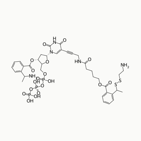 CC(N)c1ccccc1C(=O)O[C@@H]1C[C@H](n2cc(C#CCNC(=O)CCCCOC(=O)c3ccccc3C(C)SSCCN)c(=O)[nH]c2=O)OC1COP(=O)(O)OP(=O)(O)OP(=O)(O)O